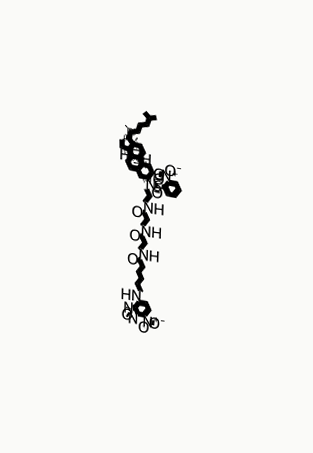 CC(C)CCC[C@@H](C)[C@H]1CC[C@H]2[C@@H]3CC=C4C[C@@H](N(CCCNC(=O)CCNC(=O)CCNC(=O)CCCCCNc5ccc([N+](=O)[O-])c6nonc56)S(=O)(=O)c5ccccc5[N+](=O)[O-])CC[C@]4(C)[C@H]3CC[C@]12C